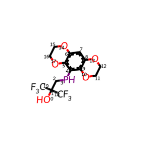 OC(CPc1c2c(cc3c1OCCO3)OCCO2)(C(F)(F)F)C(F)(F)F